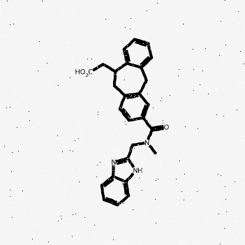 CN(Cc1nc2ccccc2[nH]1)C(=O)c1ccc2c(c1)Cc1ccccc1C(CC(=O)O)C2